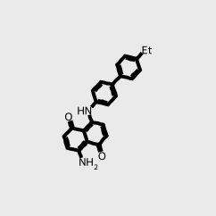 CCc1ccc(-c2ccc(NC3=C4C(=O)C=CC(N)=C4C(=O)C=C3)cc2)cc1